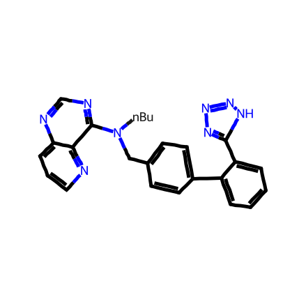 CCCCN(Cc1ccc(-c2ccccc2-c2nnn[nH]2)cc1)c1ncnc2cccnc12